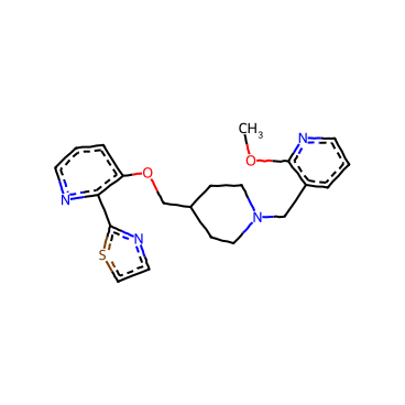 COc1ncccc1CN1CCC(COc2cccnc2-c2nccs2)CC1